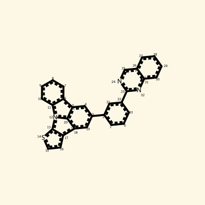 c1cc(-c2cc3c4ccccc4n4c5sccc5c(c2)c34)cc(-c2ncc3ccccc3n2)c1